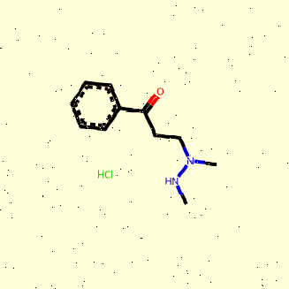 CNN(C)CCC(=O)c1ccccc1.Cl